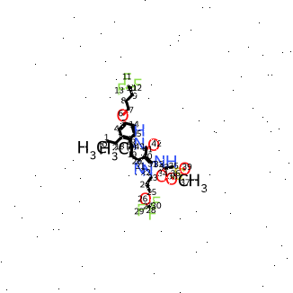 CCCc1cc(OCCCC(F)(F)F)ccc1[C@@]1(C)Cc2nn(CCCOC(F)(F)F)c(NC(=O)CS(C)(=O)=O)c2C(=O)N1